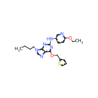 CCCCn1cnc2c(OCc3cccs3)nc(Nc3ccc(OCC)nc3)nc21